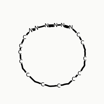 C1CCCCCCCCCN=NN=NN=NCCCCCCCC1